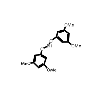 COc1cc(OC)cc(OBOc2cc(OC)cc(OC)c2)c1